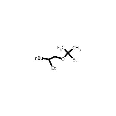 CCCCC(CC)COC(C)(CC)C(F)(F)F